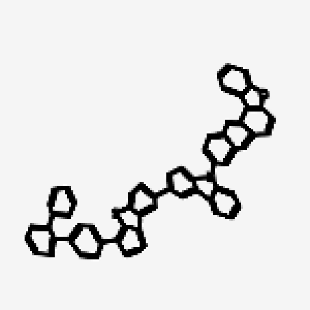 c1ccc(-c2ccccc2-c2ccc(-c3cccc4c3sc3ccc(-c5ccc6c(c5)c5ccccc5n6-c5ccc6cc7c(ccc8oc9ccccc9c87)cc6c5)cc34)cc2)cc1